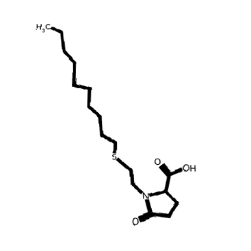 CCCCCCCCCCSCCN1C(=O)CCC1C(=O)O